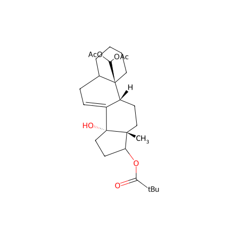 CC(=O)OC(OC(C)=O)[C@]12CCCCC1CC=C1[C@H]2CC[C@]2(C)C(OC(=O)C(C)(C)C)CC[C@@]12O